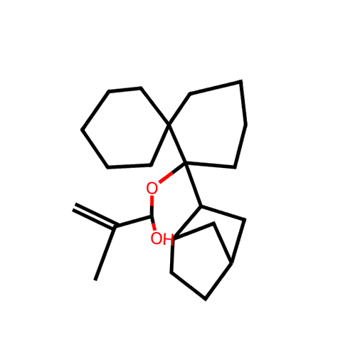 C=C(C)C(O)OC1(C2CC3CCC2C3)CCCCC12CCCCC2